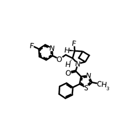 Cc1nc(C(=O)N2C3CC(C3)[C@@H](F)[C@@H]2COc2ccc(F)cn2)c(C2=CCCC=C2)s1